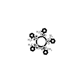 Cc1ccccc1S(=O)(=O)N1CCN(S(=O)(=O)c2ccccc2C)CCN(S(=O)(=O)c2ccccc2C)C[C@@H](C)N(S(=O)(=O)c2ccccc2C)CCN(S(=O)(=O)c2ccccc2C)CC1